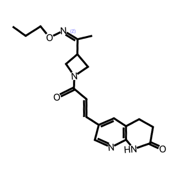 CCCO/N=C(/C)C1CN(C(=O)C=Cc2cnc3c(c2)CCC(=O)N3)C1